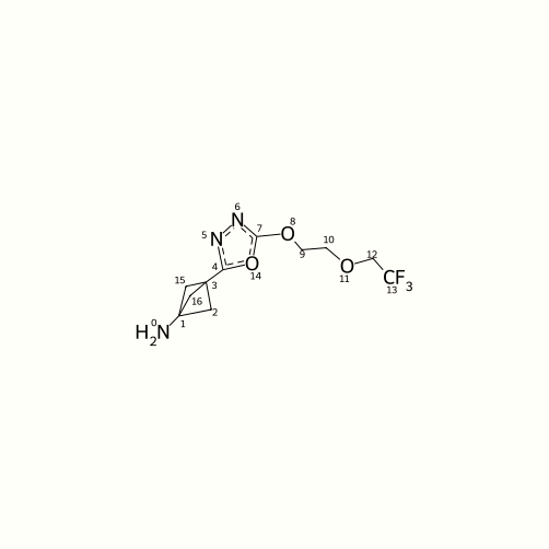 NC12CC(c3nnc(OCCOCC(F)(F)F)o3)(C1)C2